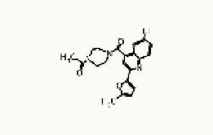 CC(=O)N1CCN(C(=O)c2cc(-c3ccc(C)o3)nc3ccc(Cl)cc23)CC1